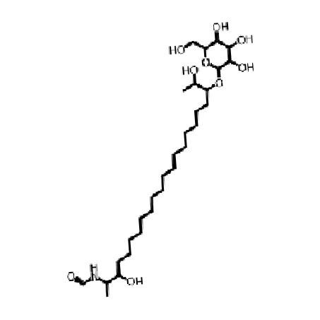 CC(O)C(CCCCCCCCCCCCCCCCC(O)C(C)NC=O)OC1OC(CO)C(O)C(O)C1O